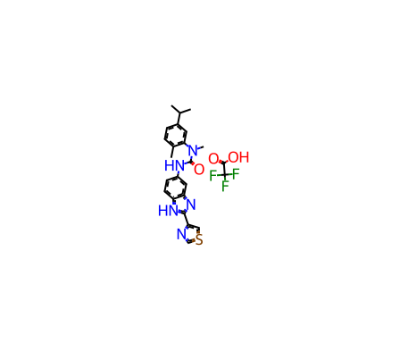 Cc1ccc(C(C)C)cc1N(C)C(=O)Nc1ccc2[nH]c(-c3cscn3)nc2c1.O=C(O)C(F)(F)F